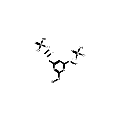 CC.CCC.CCOc1nc(C)cc(SC(C)C)n1.OP(O)(O)=S.OP(O)(O)=S